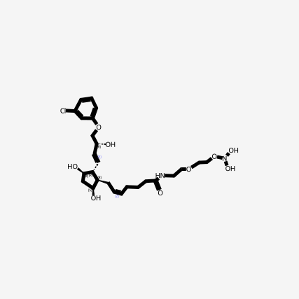 O=C(CCC/C=C\C[C@@H]1[C@@H](/C=C/[C@@H](O)COc2cccc(Cl)c2)[C@H](O)C[C@@H]1O)NCCOCCON(O)O